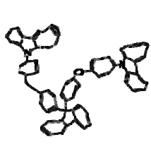 c1ccc2c(c1)-c1ccccc1C2(c1ccc(Cc2ccc(-n3c4ccccc4c4ccccc43)cc2)cc1)c1ccc(Oc2ccc(-n3c4ccccc4c4ccccc43)cc2)cc1